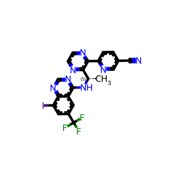 C[C@H](Nc1ncnc2c(I)cc(C(F)(F)F)cc12)c1nccnc1-c1ccc(C#N)cn1